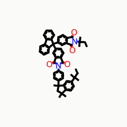 CCC(C)(C)c1ccc2c(c1)C(C)(c1ccc(N3C(=O)c4ccc(C5(c6ccc7c(c6)C(=O)N(C(C)(C)CC)C7=O)c6ccccc6-c6ccccc65)cc4C3=O)cc1)CC2(C)C